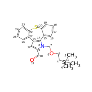 C[Si](C)(C)CCOCn1c(C=O)cc2c1-c1ccccc1Sc1ccccc1-2